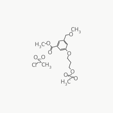 COCc1cc(OCCCOS(C)(=O)=O)cc(C(=O)OC)c1.CS(=O)(=O)Cl